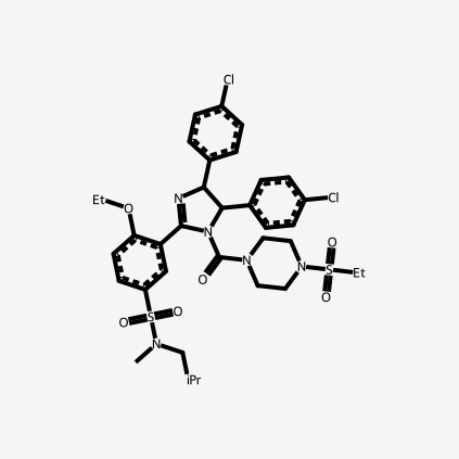 CCOc1ccc(S(=O)(=O)N(C)CC(C)C)cc1C1=NC(c2ccc(Cl)cc2)C(c2ccc(Cl)cc2)N1C(=O)N1CCN(S(=O)(=O)CC)CC1